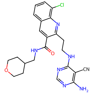 N#Cc1c(N)ncnc1NCCc1nc2c(Cl)cccc2cc1C(=O)NCC1CCOCC1